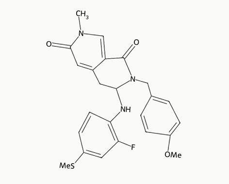 COc1ccc(CN2C(=O)c3cn(C)c(=O)cc3CC2Nc2ccc(SC)cc2F)cc1